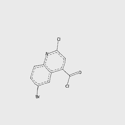 O=C(Cl)c1cc(Cl)nc2ccc(Br)cc12